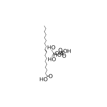 CCCCCCCCC=CCCCCCCCC(=O)O.O=S(=O)(O)O.OCC(O)CO